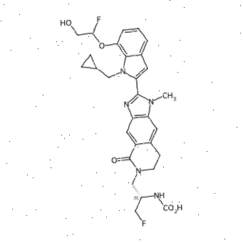 Cn1c(-c2cc3cccc(OC(F)CO)c3n2CC2CC2)nc2cc3c(cc21)CCN(C[C@@H](CF)NC(=O)O)C3=O